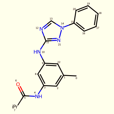 Cc1cc(NC(=O)C(C)C)cc(Nc2ncn(-c3ccccc3)n2)c1